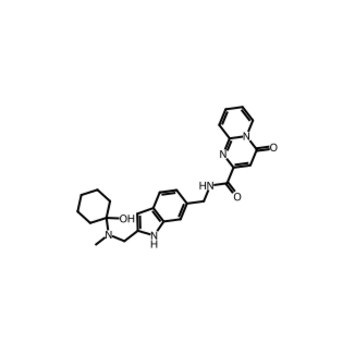 CN(Cc1cc2ccc(CNC(=O)c3cc(=O)n4ccccc4n3)cc2[nH]1)C1(O)CCCCC1